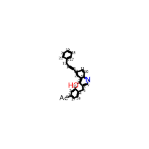 CC(=O)c1ccc(Cc2cnc3ccc(C#CCc4ccccc4)cc3c2O)cc1